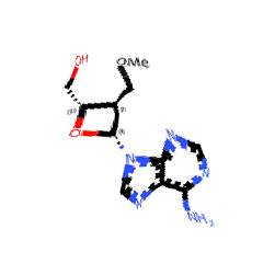 COC[C@H]1[C@H](n2cnc3c(N)ncnc32)O[C@@H]1CO